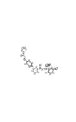 CCOC(=O)COc1ccc([C@H]2CCC[C@@H](NC[C@H](O)c3cccc(Cl)c3)C2)cc1